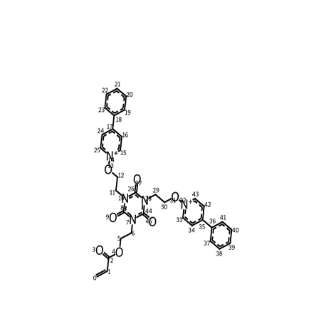 C=CC(=O)OCCn1c(=O)n(CCO[n+]2ccc(-c3ccccc3)cc2)c(=O)n(CCO[n+]2ccc(-c3ccccc3)cc2)c1=O